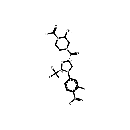 CC1CN(C(=O)[C@@H]2CN(c3ccc([N+](=O)[O-])c(Cl)c3)[C@@H](C(F)(F)F)O2)CCN1C(=O)O